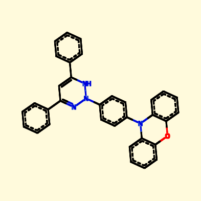 C1=C(c2ccccc2)NN(c2ccc(N3c4ccccc4Oc4ccccc43)cc2)N=C1c1ccccc1